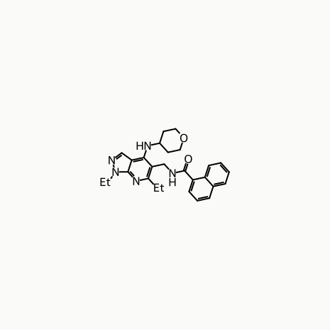 CCc1nc2c(cnn2CC)c(NC2CCOCC2)c1CNC(=O)c1cccc2ccccc12